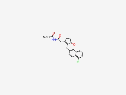 COC(=O)NC(=O)CC1=C(Cc2ccc3c(Cl)cccc3c2)C(=O)CC1